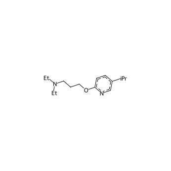 CCN(CC)CCCOc1ccc(C(C)C)cn1